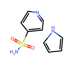 NS(=O)(=O)c1ccncc1.c1cc[nH]c1